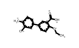 CCOc1ccc(-c2ccc(C)c(Cl)c2)cc1C(=O)O